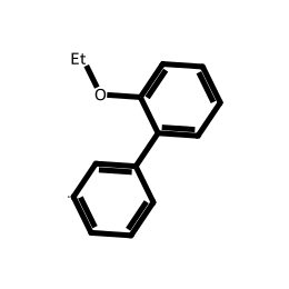 CCOc1ccccc1-c1c[c]ccc1